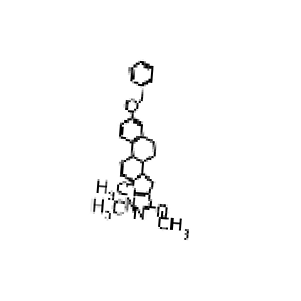 COc1nn(C)c2c1CC1C3CCc4cc(OCc5ccccc5)ccc4C3CC[C@]21C